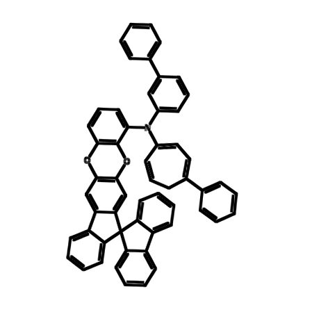 C1=CC(N(c2cccc(-c3ccccc3)c2)c2cccc3c2Oc2cc4c(cc2O3)-c2ccccc2C42c3ccccc3-c3ccccc32)=CC=C(c2ccccc2)C1